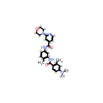 CCN(CC)c1ccc(C(=O)Nc2cc(NC(=O)c3ccnc(N4CCOCC4)c3)ccc2C)c(C)c1